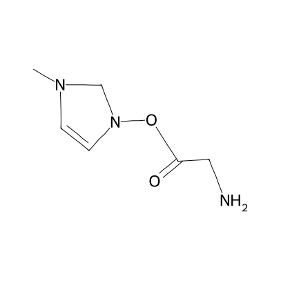 CN1C=CN(OC(=O)CN)C1